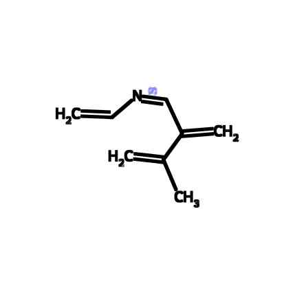 C=C/N=C\C(=C)C(=C)C